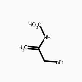 C=C(CCCC)NC(=O)O